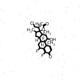 CC(=O)O[C@]1(C(=O)CCl)C(C)C[C@H]2[C@@H]3CC(F)C4=C(F)C(=O)C=C[C@]4(C)[C@@]3(F)C(O)C[C@@]21C